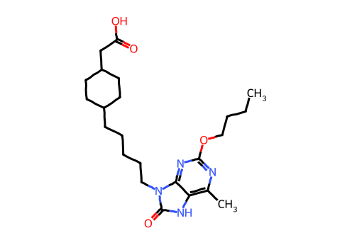 CCCCOc1nc(C)c2[nH]c(=O)n(CCCCCC3CCC(CC(=O)O)CC3)c2n1